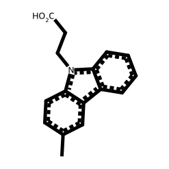 Cc1ccc2c(c1)c1ccccc1n2CCC(=O)O